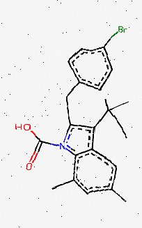 Cc1cc(C)c2c(c1)c(C(C)(C)C)c(Cc1ccc(Br)cc1)n2C(=O)O